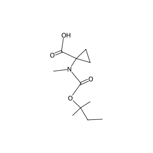 CCC(C)(C)OC(=O)N(C)C1(C(=O)O)CC1